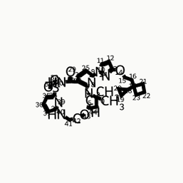 CC1(C)C[C@@H]2CN1c1nc(-n3ccc(OCCC4(C5CC5)CCC4)n3)ccc1C(=O)NS(=O)(=O)c1cccc(n1)NCCO2